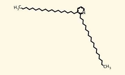 CCCCCCCCCCCCCCCCCCc1cccnc1CCCCCCCCCCCCCCCCCC